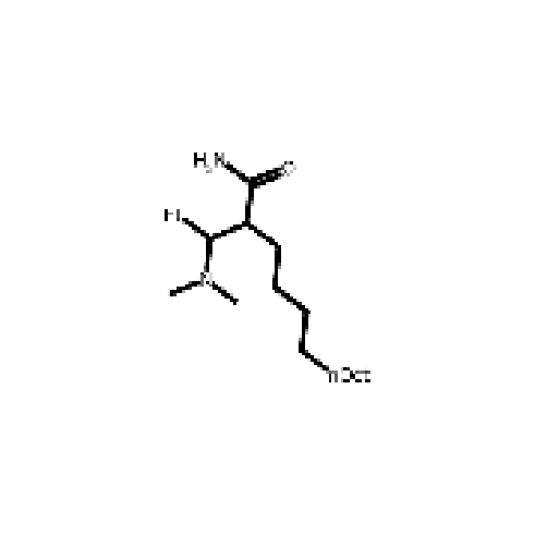 CCCCCCCCCCCCC(C(N)=O)C(CC)N(C)C